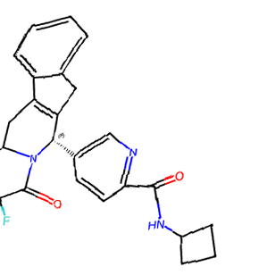 C[C@H]1CC2=C(Cc3ccccc32)[C@H](c2ccc(C(=O)NC3CCC3)nc2)N1C(=O)C(F)(F)F